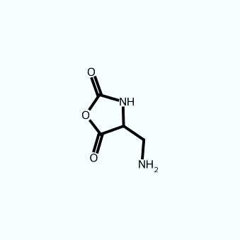 NCC1NC(=O)OC1=O